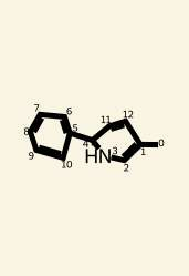 CC1=CN[C](c2ccccc2)C=C1